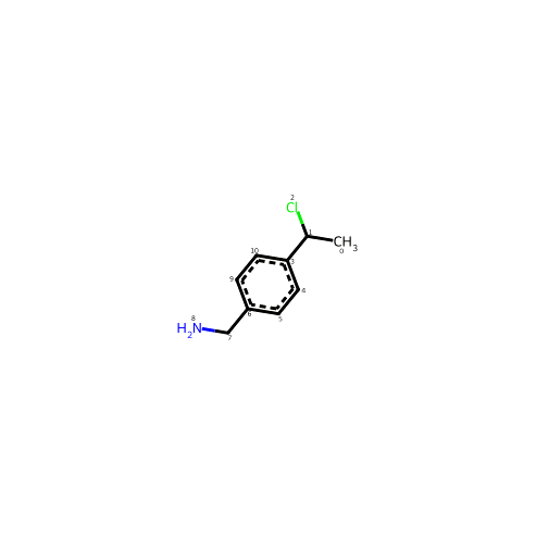 CC(Cl)c1ccc(CN)cc1